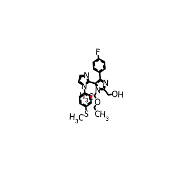 CCOC(C)n1c(CO)nc(-c2ccc(F)cc2)c1-c1nccn1-c1ccc(SC)cc1